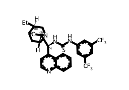 CC[C@H]1CN2CCC1C[C@H]2[C@@H](NC(=S)Nc1cc(C(F)(F)F)cc(C(F)(F)F)c1)c1ccnc2ccccc12